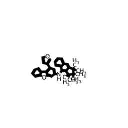 CC1(C)c2cc3ccccc3c(Nc3cc(-c4ccoc4)c4c(c3)oc3ccccc34)c2C(C)(C)C1(C)C